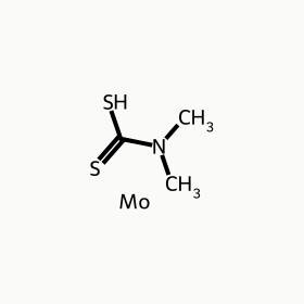 CN(C)C(=S)S.[Mo]